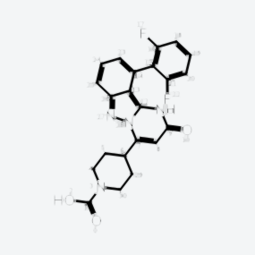 O=C(O)N1CCC(c2cc(=O)[nH]c3c4c(-c5c(F)cccc5F)cccc4nn23)CC1